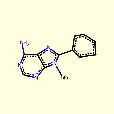 CCCn1c(-c2ccccc2)nc2c(N)ncnc21